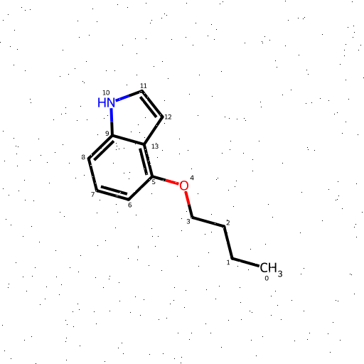 CCCCOc1cccc2[nH]ccc12